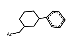 CC(=O)CC1CCCC(c2ccccc2)C1